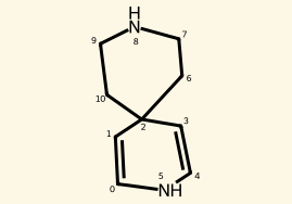 C1=CC2(C=CN1)CCNCC2